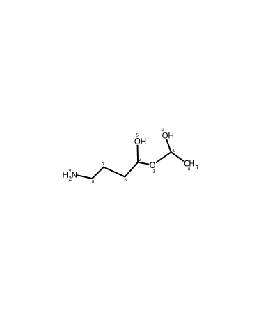 CC(O)OC(O)CCCN